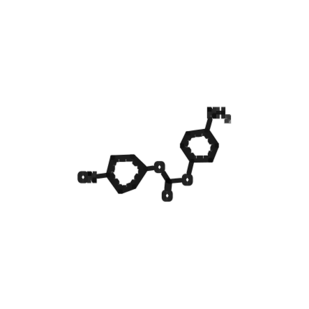 Nc1ccc(OC(=O)Oc2ccc(N=O)cc2)cc1